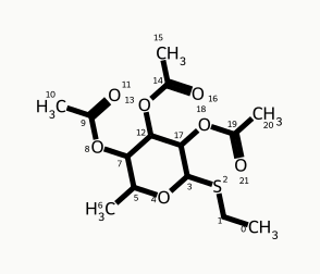 CCSC1OC(C)C(OC(C)=O)C(OC(C)=O)C1OC(C)=O